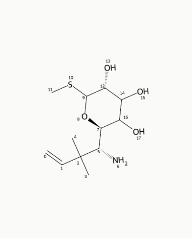 C=CC(C)(C)[C@@H](N)[C@H]1OC(SC)[C@H](O)C(O)C1O